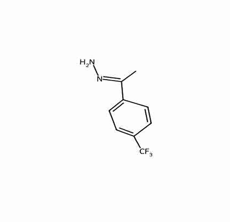 CC(=NN)c1ccc(C(F)(F)F)cc1